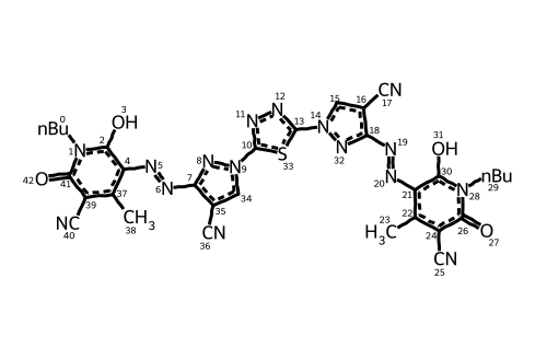 CCCCn1c(O)c(N=Nc2nn(-c3nnc(-n4cc(C#N)c(N=Nc5c(C)c(C#N)c(=O)n(CCCC)c5O)n4)s3)cc2C#N)c(C)c(C#N)c1=O